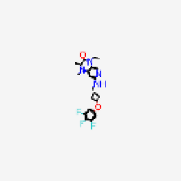 CCN1C(=O)C(C)N(C)c2cc(NC[C@H]3C[C@@H](Oc4cc(F)c(F)c(F)c4)C3)ncc21